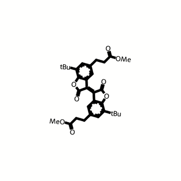 COC(=O)CCc1cc2c(c(C(C)(C)C)c1)OC(=O)C2=C1C(=O)Oc2c1cc(CCC(=O)OC)cc2C(C)(C)C